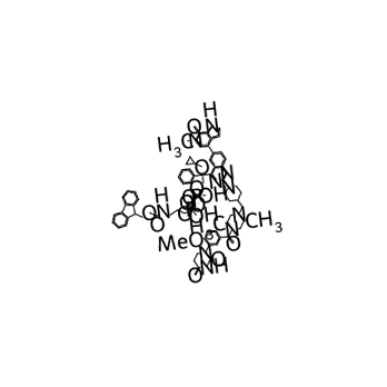 COc1ccc(C(=O)N2C[C@H](C)N(CC3CCN(c4nc(C(COP(=O)(O)OP(=O)(O)OCCNC(=O)OCC5c6ccccc6-c6ccccc65)(OC5CC5)c5ccccc5)c5cc(-c6cn(C)c(=O)c7[nH]ccc67)ccc5n4)CC3)C[C@H]2C)cc1N1CCC(=O)NC1=O